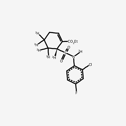 [2H]N(c1ccc(F)cc1Cl)S(=O)(=O)[C@@]1([2H])C(C(=O)OCC)=CCC([2H])([2H])C1([2H])[2H]